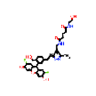 CC1=NN=C(/C=C/c2ccc(CO)c(-c3c4cc(F)c(=O)cc-4oc4cc(O)c(F)cc34)c2)C2C(CNC(=O)CCCC(=O)NCCO)C12C